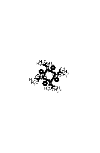 CCC(=CC(=O)Oc1ccccc1-c1c2nc(c(-c3ccccc3OC(=O)C=C(CC)C(C)C)c3ccc([nH]3)c(-c3ccccc3OC(=O)C=C(CC)C(C)C)c3nc(c(-c4ccccc4OC(=O)C=C(CC)C(C)C)c4ccc1[nH]4)C=C3)C=C2)C(C)C